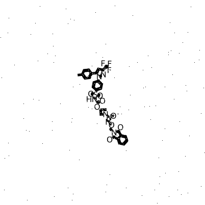 Cc1ccc(-c2cc(C(F)(F)F)nn2-c2ccc(S(=O)(=O)NC(=O)OC3CN([N+]([O-])=NOCN4C(=O)c5ccccc5C4=O)C3)cc2)cc1